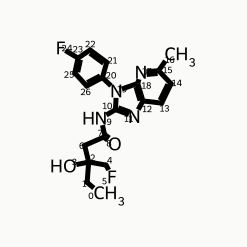 CCC(O)(CF)CC(=O)Nc1nc2ccc(C)nc2n1-c1ccc(F)cc1